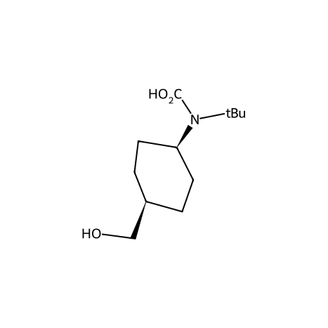 CC(C)(C)N(C(=O)O)[C@H]1CC[C@@H](CO)CC1